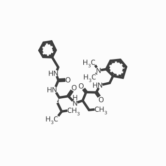 CCC(NC(=O)[C@H](CC(C)C)NC(=O)NCc1ccccc1)C(=O)C(=O)NCc1ccccc1N(C)C